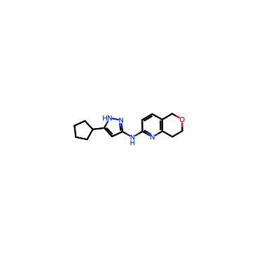 c1cc2c(nc1Nc1cc(C3CCCC3)[nH]n1)CCOC2